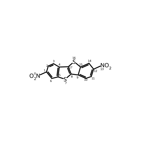 O=[N+]([O-])c1ccc2c(c1)sc1c3ccc([N+](=O)[O-])cc3sc21